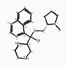 CN1CCC[C@H]1COC(C#N)(c1ncnc2ccccc12)C1CNCCN1